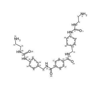 NCCNC(=O)Nc1ccc(CNC(=O)c2ccc(C(=O)NCc3ccc(NC(=O)NCCN)cc3)cc2)cc1